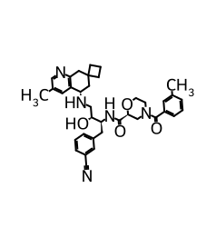 Cc1cccc(C(=O)N2CCO[C@H](C(=O)N[C@@H](Cc3cccc(C#N)c3)[C@@H](O)CN[C@H]3CC4(CCC4)Cc4ncc(C)cc43)C2)c1